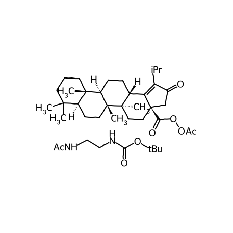 CC(=O)NCCNC(=O)OC(C)(C)C.CC(=O)OOC(=O)[C@@]12CC[C@]3(C)[C@H](CC[C@@H]4[C@@]5(C)CCCC(C)(C)[C@@H]5CC[C@]43C)C1=C(C(C)C)C(=O)C2